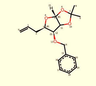 C=CC[C@H]1O[C@@H]2OC(C)(C)OC2[C@H]1OCc1ccccc1